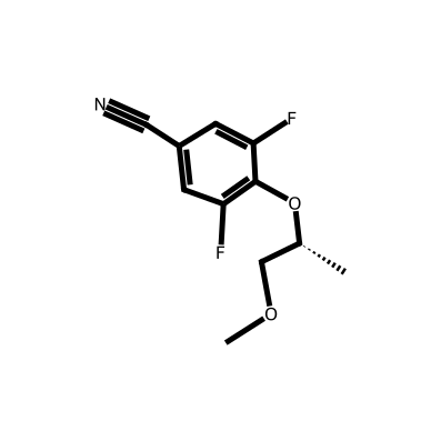 COC[C@@H](C)Oc1c(F)cc(C#N)cc1F